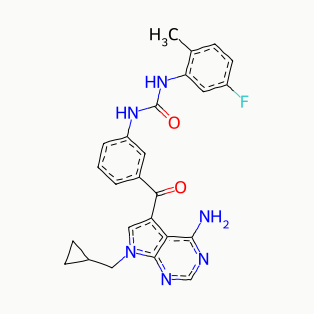 Cc1ccc(F)cc1NC(=O)Nc1cccc(C(=O)c2cn(CC3CC3)c3ncnc(N)c23)c1